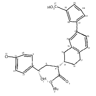 CC(C)(C)OC(=O)N(C[C@H](O)c1ccc(Cl)cc1)[C@H]1CCc2ccc(-c3cccc(C(=O)O)c3)cc2C1